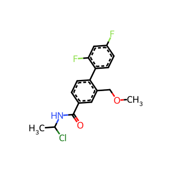 COCc1cc(C(=O)NC(C)Cl)ccc1-c1ccc(F)cc1F